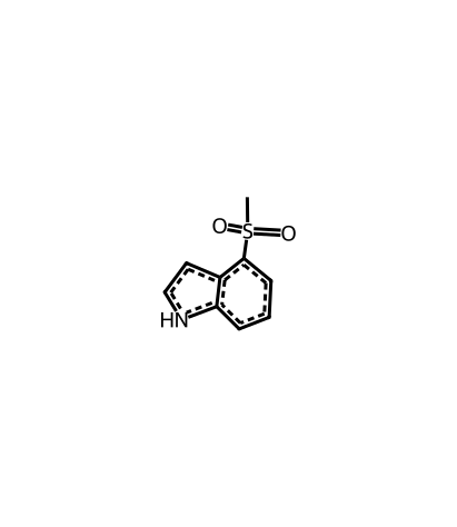 CS(=O)(=O)c1cccc2[nH]ccc12